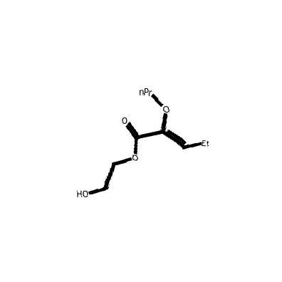 CCC=C(OCCC)C(=O)OCCO